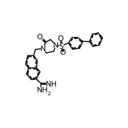 N=C(N)c1ccc2ccc(CN3CCN(S(=O)(=O)c4ccc(-c5ccccc5)cc4)CC3=O)cc2c1